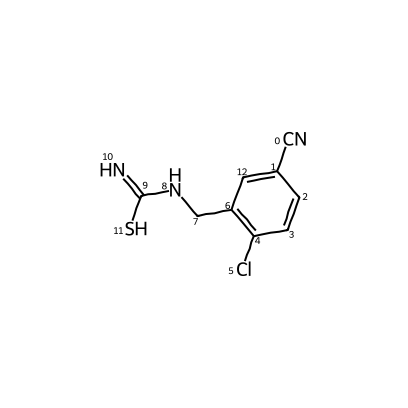 N#Cc1ccc(Cl)c(CNC(=N)S)c1